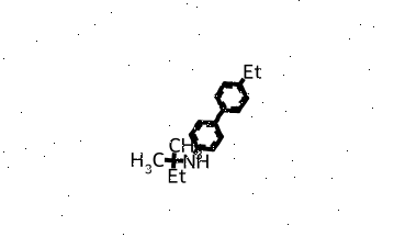 CCc1ccc(-c2ccc(NC(C)(C)CC)cc2)cc1